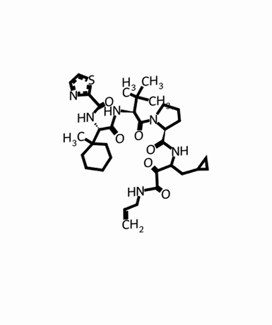 C=CCNC(=O)C(=O)C(CC1CC1)NC(=O)[C@@H]1CCCN1C(=O)[C@@H](NC(=O)[C@@H](NC(=O)c1nccs1)C1(C)CCCCC1)C(C)(C)C